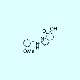 COc1cccc(CNc2ccc3c(n2)C(=O)N(O)CC3)c1